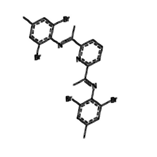 CC(=Nc1c(Br)cc(C)cc1Br)c1cccc(C(C)=Nc2c(Br)cc(C)cc2Br)n1